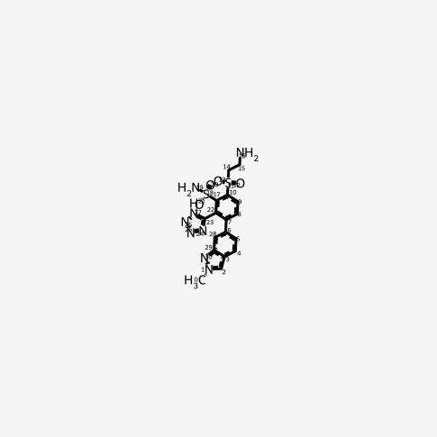 Cn1cc2ccc(-c3ccc(S(=O)(=O)CCN)c(S(N)(=O)=O)c3-c3nnn[nH]3)cc2n1